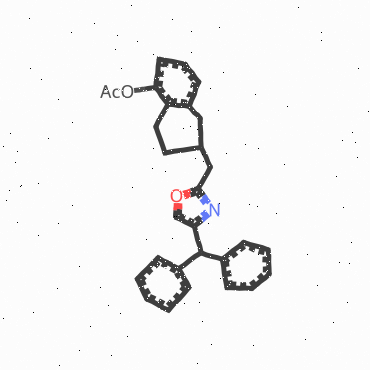 CC(=O)Oc1cccc2c1CCC(Cc1nc(C(c3ccccc3)c3ccccc3)co1)C2